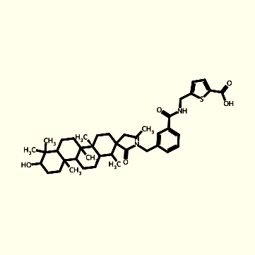 CCCC1(C(=O)NCc2cccc(C(=O)NCc3ccc(C(=O)O)s3)c2)CC[C@]2(C)C(CCC3C4(C)CCC(O)C(C)(C)C4CCC32C)C1C